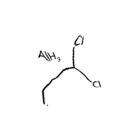 [AlH3].[CH2]CC(Cl)Cl